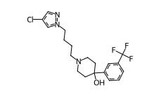 OC1(c2cccc(C(F)(F)F)c2)CCN(CCCCn2cc(Cl)cn2)CC1